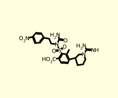 Cc1c(C2CCCN(C(=N)N)C2)ccc(C(=O)O)c1S(=O)(=O)N(CCc1ccc([N+](=O)[O-])cc1)C(N)=O